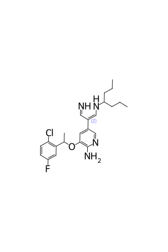 CCCC(CCC)N/C=C(\C=N)c1cnc(N)c(OC(C)c2cc(F)ccc2Cl)c1